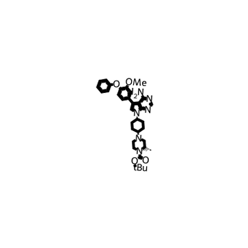 COc1cc(-c2cn([C@H]3CC[C@H](N4CCN(C(=O)OC(C)(C)C)[C@@H](C)C4)CC3)c3ncnc(N)c23)ccc1Oc1ccccc1